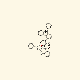 c1ccc(-c2ccc3c(c2)Sc2ccccc2C32c3ccccc3Sc3c(-c4cccc5c4c4ccccc4n5-c4ccccc4)cccc32)cc1